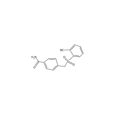 N#Cc1ccccc1S(=O)(=O)Cc1ccc(C(N)=O)cc1